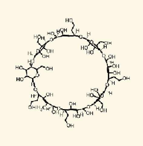 C/C1=C(/O)[C@@H](CCO)O[C@H]2OC(CO)[C@@H](O[C@H]3OC(CO)[C@@H](O[C@@H](O)/C(O)=C/[C@@H](CCO)O[C@H]4OC(CO)[C@@H](O[C@@H](O)/C(O)=C(/O)[C@@H](CCO)O[C@H]5OC(CO)[C@@H](O[C@@H](O)/C(O)=C(\O)[C@@H](CCO)O[C@H]1O)C(O)C5O)C(O)C4O)C(O)C3O)C(O)C2O